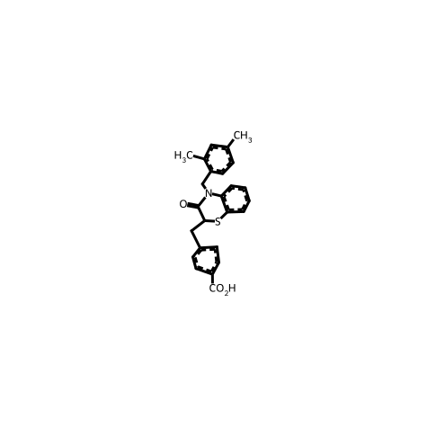 Cc1ccc(CN2C(=O)C(Cc3ccc(C(=O)O)cc3)Sc3ccccc32)c(C)c1